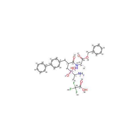 CC(N)P(=O)(O)CC(Cc1ccc(-c2ccccc2)cc1)C(=O)N[C@@H](C)C(=O)OCc1ccccc1.O=C(O)C(F)(F)F